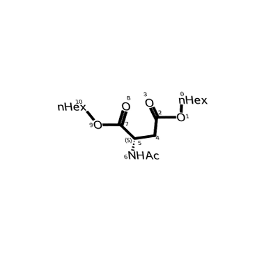 CCCCCCOC(=O)C[C@H](NC(C)=O)C(=O)OCCCCCC